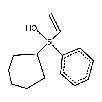 C=C[Si](O)(c1ccccc1)C1CCCCC1